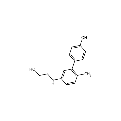 Cc1ccc(NCCO)cc1-c1ccc(O)cc1